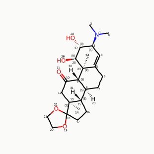 CN(C)[C@H]1C=C2CC[C@@H]3[C@H](C(=O)C[C@@]4(C)[C@H]3CCC43OCCO3)[C@@]2(C)[C@@H](O)[C@@H]1O